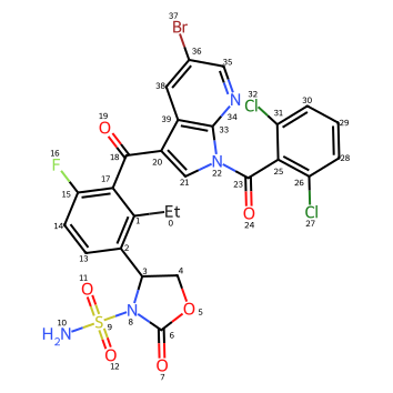 CCc1c(C2COC(=O)N2S(N)(=O)=O)ccc(F)c1C(=O)c1cn(C(=O)c2c(Cl)cccc2Cl)c2ncc(Br)cc12